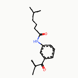 CC(C)CCCC(=O)Nc1cccc(C(=O)C(C)C)c1